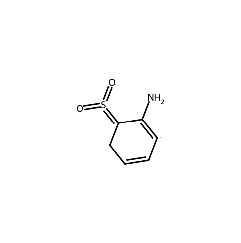 NC1=[C]C=CCC1=S(=O)=O